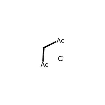 CC(=O)CC(C)=O.[C]